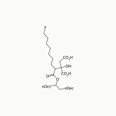 CCCCCCCCCCCC(CCCCCCCC)OC(=O)C(CCCCCCCF)C(O)(CC(=O)O)C(=O)O